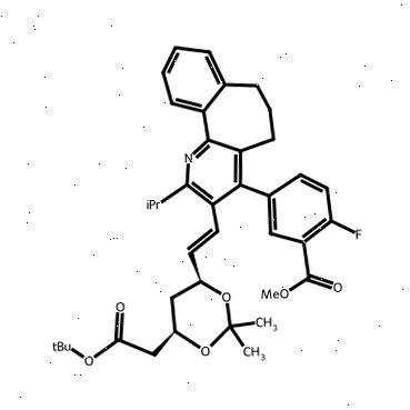 COC(=O)c1cc(-c2c(/C=C/[C@@H]3C[C@H](CC(=O)OC(C)(C)C)OC(C)(C)O3)c(C(C)C)nc3c2CCCc2ccccc2-3)ccc1F